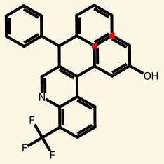 Oc1cccc(-c2c(C(c3ccccc3)c3ccccc3)cnc3c(C(F)(F)F)cccc23)c1